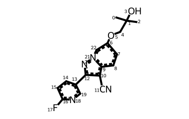 CC(C)(O)COc1ccc2c(C#N)c(-c3ccc(F)nc3)nn2c1